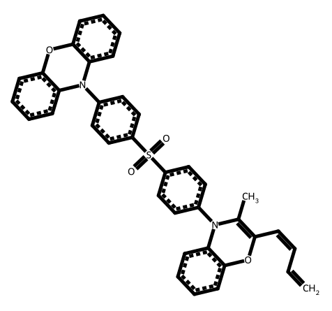 C=C/C=C\C1=C(C)N(c2ccc(S(=O)(=O)c3ccc(N4c5ccccc5Oc5ccccc54)cc3)cc2)c2ccccc2O1